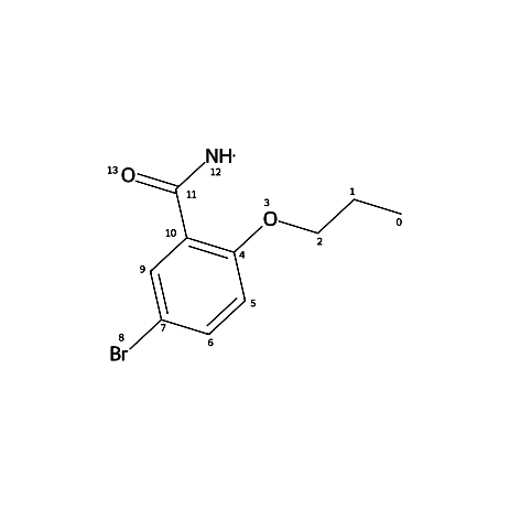 CCCOc1ccc(Br)cc1C([NH])=O